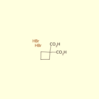 Br.Br.O=C(O)C1(C(=O)O)CCC1